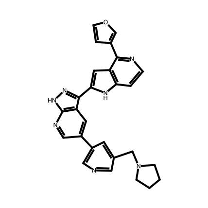 c1cc2[nH]c(-c3n[nH]c4ncc(-c5cncc(CN6CCCC6)c5)cc34)cc2c(-c2ccoc2)n1